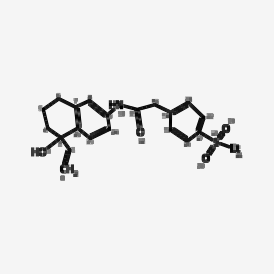 C=CC1(O)CCCc2cc(NC(=O)Cc3ccc(S(=O)(=O)CC)cc3)ccc21